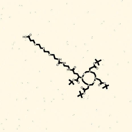 CC(C)(C)OC(=O)CN1CCN(CC(=O)OC(C)(C)C)CCN(C(CCC(=O)NCCNC(=O)NCCOCCOCCOCCC(=O)O)C(=O)OC(C)(C)C)CCN(CC(=O)OC(C)(C)C)CC1